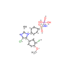 COc1ccc(-c2c(Cl)ncn2-c2ccc(S(=O)(=O)NP(=O)(O)O)cc2)cc1F.[KH]